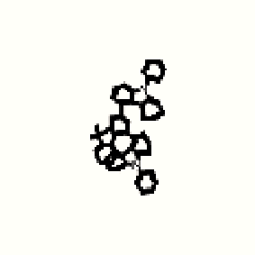 CC1(C)c2ccccc2-c2c(-c3cccc4c3c3ccccc3n4-c3ccccc3)cc(-c3cccc4c3c3ccccc3n4-c3ccccc3)cc21